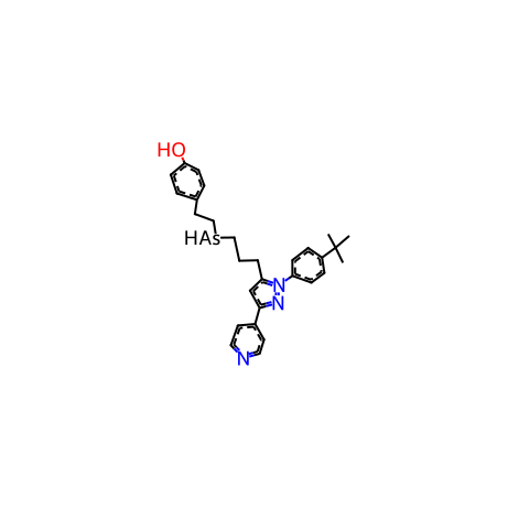 CC(C)(C)c1ccc(-n2nc(-c3ccncc3)cc2CCC[AsH]CCc2ccc(O)cc2)cc1